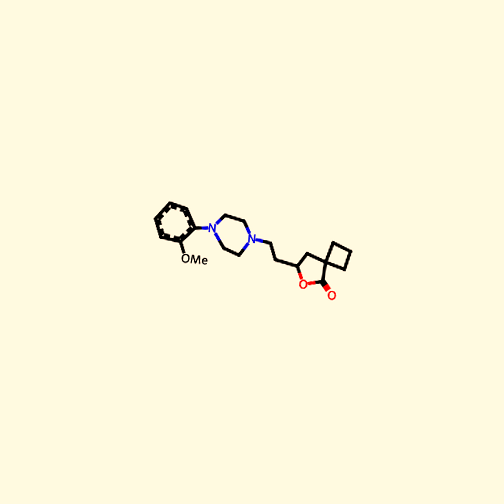 COc1ccccc1N1CCN(CCC2CC3(CCC3)C(=O)O2)CC1